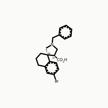 O=C(O)[C@@H]1CN(Cc2ccccc2)C[C@]12CCCc1cc(Br)ccc12